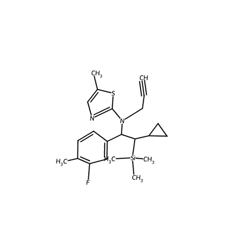 C#CCN(c1ncc(C)s1)C(c1ccc(C)c(F)c1)C(C1CC1)[Si](C)(C)C